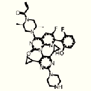 C=CC(=O)N1C[C@H](C)N(c2nc(=O)n(-c3c(C4CC4)nc(N4CCNCC4)nc3C3CC3)c3nc(-c4c(O)cccc4F)c(F)cc23)C[C@H]1C